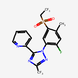 Cc1cc(F)c(-n2nc(C(F)(F)F)nc2-c2ccccn2)cc1S(=O)(=O)CC(F)(F)F